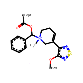 CCCCCCCC(=O)OC(c1ccccc1)[N+]1(C)CCC=C(c2nsnc2OCCCCCC)C1.[I-]